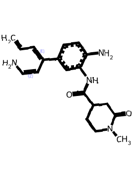 C=C/C=C(\C=C/N)c1ccc(N)c(NC(=O)C2CCN(C)C(=O)C2)c1